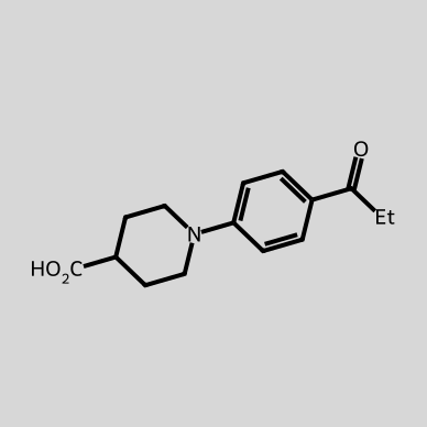 CCC(=O)c1ccc(N2CCC(C(=O)O)CC2)cc1